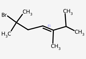 C/C(=C\CC(C)(C)Br)C(C)C